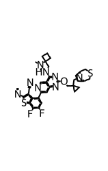 C=Nc1sc2c(F)c(F)cc(-c3cc4nc(OCC5(CN6C7CCC6CSC7)CC5)nc(NCC5(N(C)C)CCC5)c4cn3)c2c1C#N